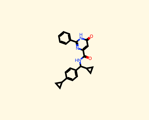 O=C(NC(c1ccc(C2CC2)cc1)C1CC1)c1cc(=O)[nH]c(-c2ccccc2)n1